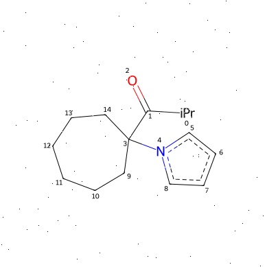 CC(C)C(=O)C1(n2cccc2)CCCCCC1